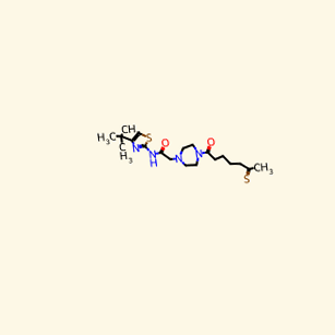 CC(=S)CCCCC(=O)N1CCN(CC(=O)Nc2nc(C(C)(C)C)cs2)CC1